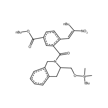 CCCCOC(=O)c1ccc(/C=C(\CCCC)[N+](=O)[O-])c(C(=O)N2Cc3ccccc3CC2CO[Si](C)(C)C(C)(C)C)c1